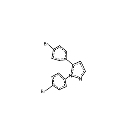 Brc1ccc(-c2ccnn2-c2ccc(Br)cc2)cc1